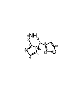 NCc1nccn1Cc1ccoc1